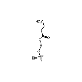 CCC(C)(C)OOOC(=O)CCC(=O)O